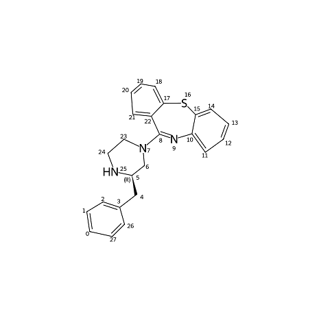 c1ccc(C[C@@H]2CN(C3=Nc4ccccc4Sc4ccccc43)CCN2)cc1